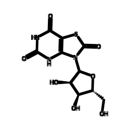 O=c1[nH]c(=O)c2sc(=O)n(C3O[C@H](CO)[C@@H](O)[C@H]3O)c2[nH]1